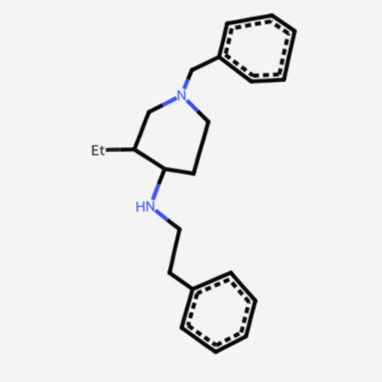 CCC1CN(Cc2ccccc2)CCC1NCCc1ccccc1